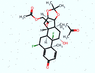 CC(=O)OCC(=O)[C@@]12OC(C)(C)O[C@@H]1C[C@H]1[C@@H]3C[C@H](F)C4=CC(=O)C=C[C@]4(C)[C@@]3(F)[C@@H](O)C[C@@]12C.CC(C)=O